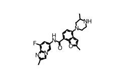 Cc1cn2cc(NC(=O)c3ccc(N4CCNC(C)C4)c4cc(C)oc34)cc(F)c2n1